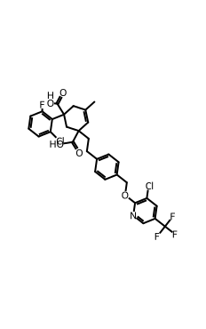 CC1=CC(CCc2ccc(COc3ncc(C(F)(F)F)cc3Cl)cc2)(C(=O)O)CC(C(=O)O)(c2c(F)cccc2Cl)C1